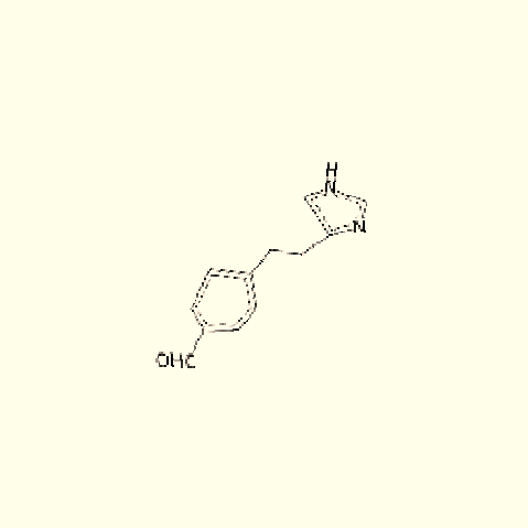 O=Cc1ccc(CCc2c[nH]cn2)cc1